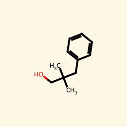 CC(C)(CO)Cc1cc[c]cc1